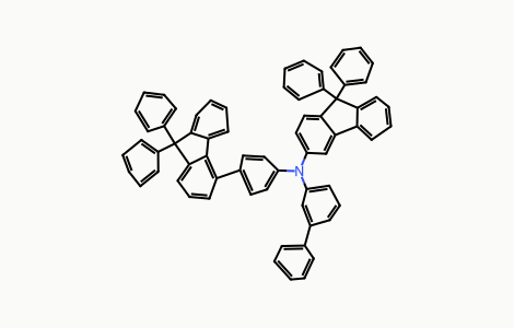 c1ccc(-c2cccc(N(c3ccc(-c4cccc5c4-c4ccccc4C5(c4ccccc4)c4ccccc4)cc3)c3ccc4c(c3)-c3ccccc3C4(c3ccccc3)c3ccccc3)c2)cc1